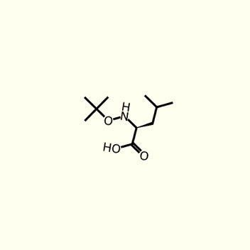 CC(C)C[C@H](NOC(C)(C)C)C(=O)O